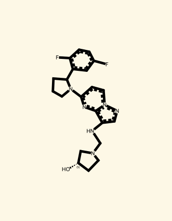 O[C@H]1CCN(CNc2cnn3ccc(N4CCCC4c4cc(F)ccc4F)nc23)C1